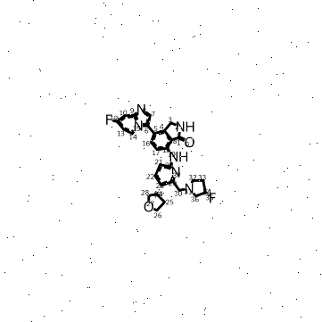 O=C1NCc2c(-c3cnc4cc(F)ccn34)ccc(Nc3ccc([C@@H]4CCOC4)c(CN4CC[C@H](F)C4)n3)c21